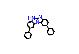 c1ccc(-c2ccc3nc4[nH]c5ccc(-c6ccccc6)cc5n4c3c2)cc1